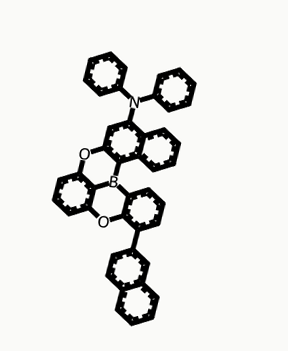 c1ccc(N(c2ccccc2)c2cc3c(c4ccccc24)B2c4cccc(-c5ccc6ccccc6c5)c4Oc4cccc(c42)O3)cc1